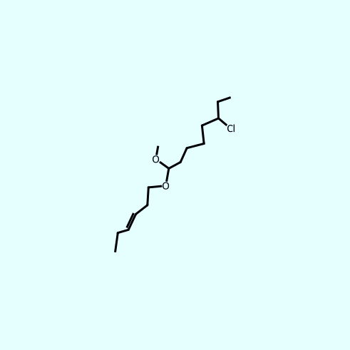 CCC=CCCOC(CCCCC(Cl)CC)OC